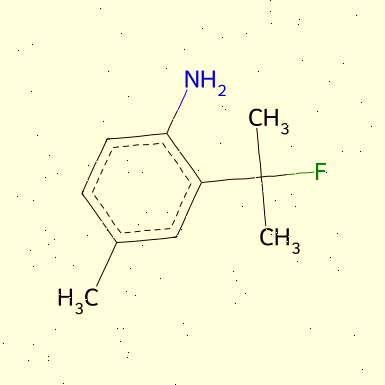 Cc1ccc(N)c(C(C)(C)F)c1